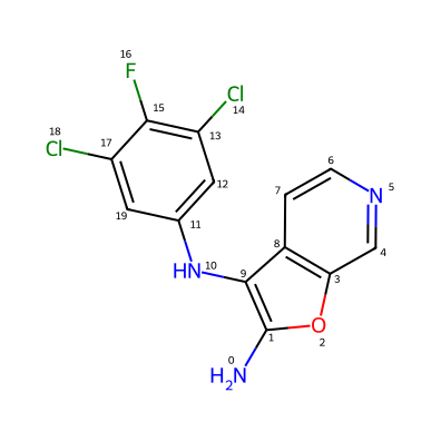 Nc1oc2cnccc2c1Nc1cc(Cl)c(F)c(Cl)c1